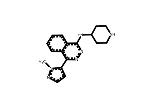 Cn1nccc1-c1nnc(NC2CCNCC2)c2ccccc12